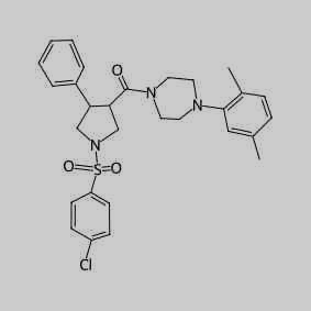 Cc1ccc(C)c(N2CCN(C(=O)C3CN(S(=O)(=O)c4ccc(Cl)cc4)CC3c3ccccc3)CC2)c1